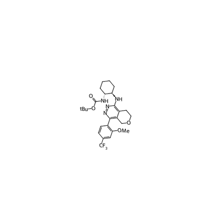 COc1cc(C(F)(F)F)ccc1-c1nnc(N[C@@H]2CCCC[C@H]2NC(=O)OC(C)(C)C)c2c1COCC2